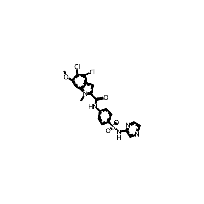 COc1cc2c(cc(C(=O)Nc3ccc(S(=O)(=O)Nc4cnccn4)cc3)n2C)c(Cl)c1Cl